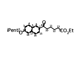 CCCC(C)Oc1ccc2cc(C(=O)CCCCC(=O)OCC)ccc2c1